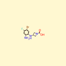 Nc1cc(F)c(Br)cc1NC1CN(C(=O)O)C1